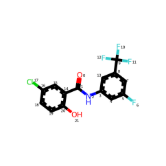 O=C(Nc1cc(F)cc(C(F)(F)F)c1)c1cc(Cl)ccc1O